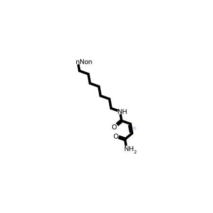 CCCCCCCCCCCCCCCCNC(=O)/C=C\C(N)=O